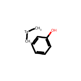 C[Te]C.Oc1ccccc1